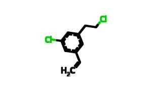 C=Cc1cc(Cl)cc(CCCl)c1